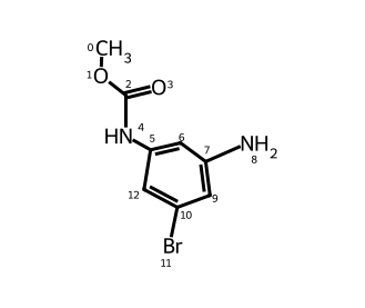 COC(=O)Nc1cc(N)cc(Br)c1